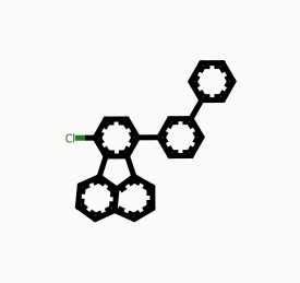 Clc1ccc(-c2cccc(-c3ccccc3)c2)c2c1-c1cccc3cccc-2c13